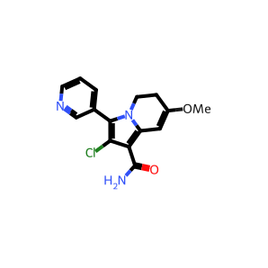 COC1=Cc2c(C(N)=O)c(Cl)c(-c3cccnc3)n2CC1